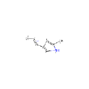 CC/C=C/c1c[nH]c(C#N)c1